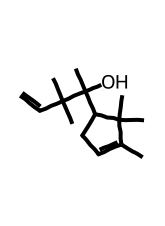 C=CC(C)(C)C(C)(O)C1CC=C(C)C1(C)C